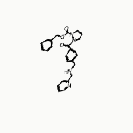 O=C(OCc1ccccc1)N1CCCN1C(=O)c1ccc(CNCc2ccccn2)cc1